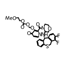 COCCOC(=O)OCOc1c2n(ccc1=O)N([C@@H]1c3ccccc3SCc3c1ccc(F)c3F)[C@@H]1COCCN1C2=O